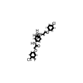 O=C(COc1ccc(Cl)c(F)c1)NC12CCC(NCCOc3ccc(Cl)cc3)(CC1)[C@@H](O)C2